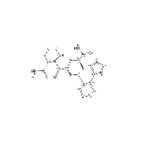 CNC(=O)[C@@H]1CCCNN1C(=O)[C@H](CCc1ccccc1-c1cscn1)C[C@H](C)C(=O)O